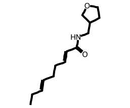 CCC=CCCC=CC(=O)NCC1CCOC1